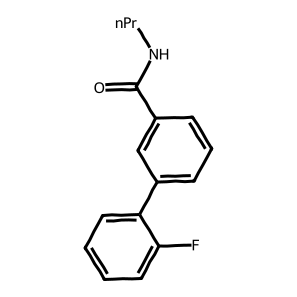 CCCNC(=O)c1cccc(-c2ccccc2F)c1